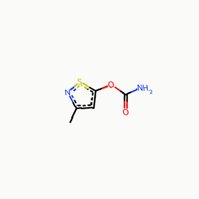 Cc1cc(OC(N)=O)sn1